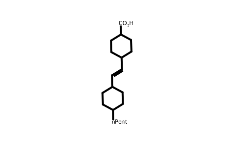 CCCCCC1CCC(/C=C/C2CCC(C(=O)O)CC2)CC1